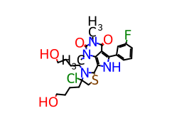 Cn1c(=O)c2c(-c3cccc(F)c3)[nH]c(C3SCC(Cl)(CCCCO)N3CCCCO)c2n(C)c1=O